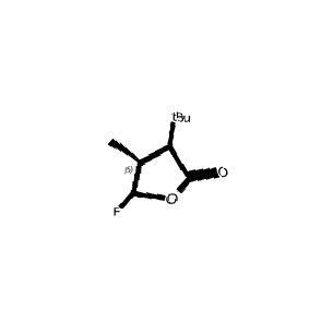 C[C@@H]1C(F)OC(=O)C1C(C)(C)C